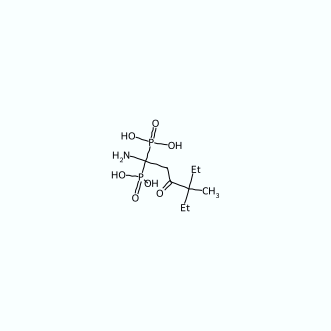 CCC(C)(CC)C(=O)CC(N)(P(=O)(O)O)P(=O)(O)O